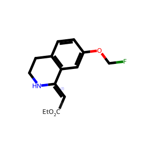 CCOC(=O)/C=C1\NCCc2ccc(OCF)cc21